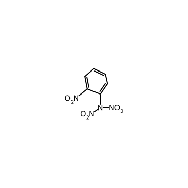 O=[N+]([O-])c1ccccc1N([N+](=O)[O-])[N+](=O)[O-]